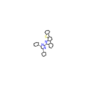 c1ccc(-c2cc(-c3ccccc3)nc(-c3nc4c(ccc5c6ccccc6sc54)c4ccccc34)n2)cc1